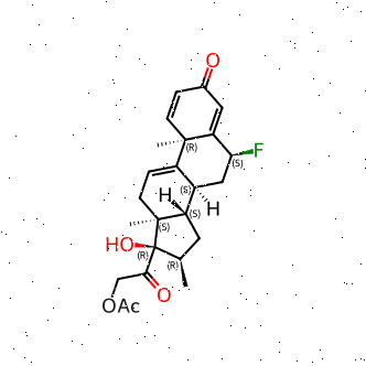 CC(=O)OCC(=O)[C@@]1(O)[C@H](C)C[C@H]2[C@@H]3C[C@H](F)C4=CC(=O)C=C[C@]4(C)C3=CC[C@@]21C